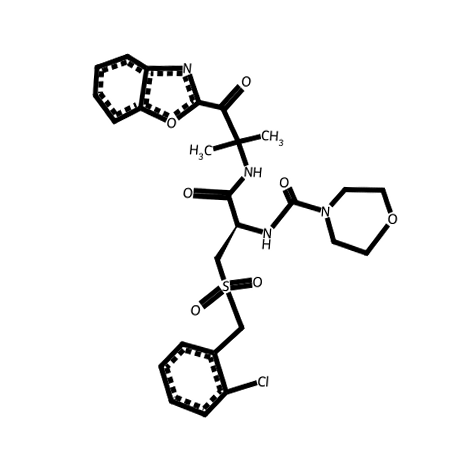 CC(C)(NC(=O)[C@H](CS(=O)(=O)Cc1ccccc1Cl)NC(=O)N1CCOCC1)C(=O)c1nc2ccccc2o1